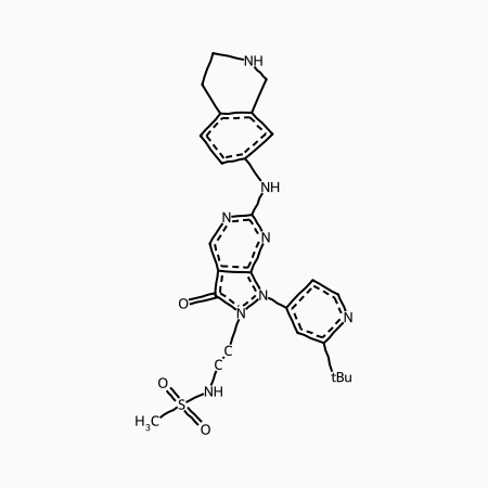 CC(C)(C)c1cc(-n2c3nc(Nc4ccc5c(c4)CNCC5)ncc3c(=O)n2CCNS(C)(=O)=O)ccn1